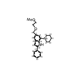 COCCOCc1cc(N2CCCCC2)c2[nH]c(-c3ccccc3)cc2c1